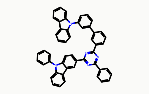 c1ccc(-c2nc(-c3cccc(-c4cccc(-n5c6ccccc6c6ccccc65)c4)c3)nc(-c3ccc4c(c3)c3ccccc3n4-c3ccccc3)n2)cc1